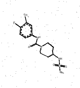 Cc1cc(NC(=O)N2CCC(NS(=O)(=O)C(C)(C)C)CC2)ccc1F